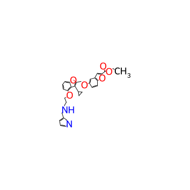 CCOC(=O)c1cc2cc(OCc3oc4cccc(OCCCNCc5cccnc5)c4c3C3CC3)ccc2o1